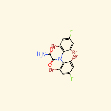 NC(=O)C(=O)N(c1c(Br)cc(F)cc1Br)c1c(Br)cc(F)cc1Br